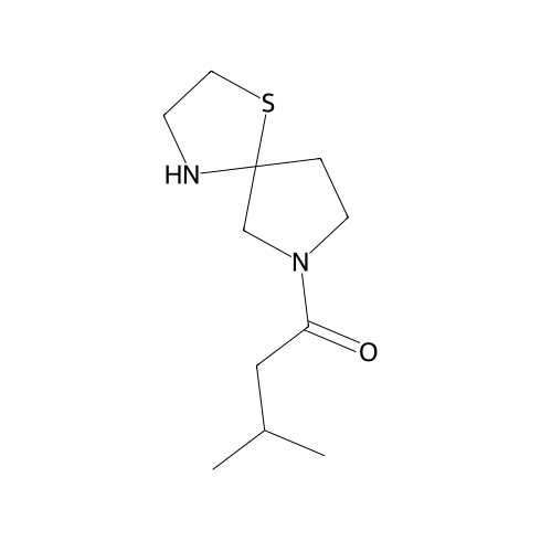 CC(C)CC(=O)N1CCC2(C1)NCCS2